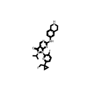 CC(C)n1c(=O)c2cnc(Nc3ccc4c(c3)CCNC4)nc2n1-c1nc(C2(CF)CC2)ccc1F